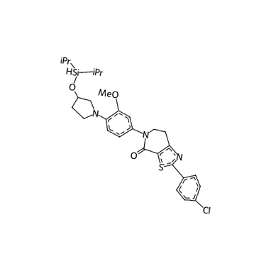 COc1cc(N2CCc3nc(-c4ccc(Cl)cc4)sc3C2=O)ccc1N1CCC(O[SiH](C(C)C)C(C)C)C1